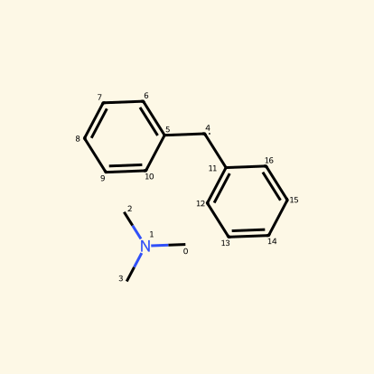 CN(C)C.[CH](c1ccccc1)c1ccccc1